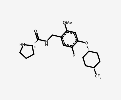 COc1cc(O[C@H]2CC[C@H](C(F)(F)F)CC2)c(F)cc1CNC(=O)[C@@H]1CCCN1